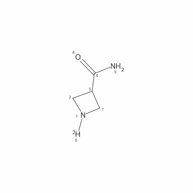 [2H]N1CC(C(N)=O)C1